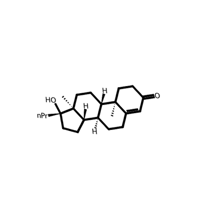 CCC[C@]1(O)CC[C@H]2[C@@H]3CCC4=CC(=O)CC[C@]4(C)[C@H]3CC[C@@]21C